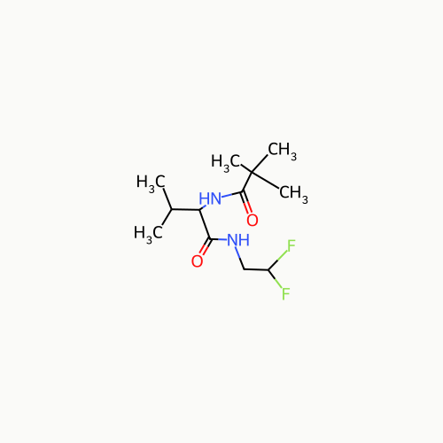 CC(C)C(NC(=O)C(C)(C)C)C(=O)NCC(F)F